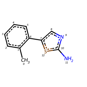 Cc1ccccc1-c1cnc(N)s1